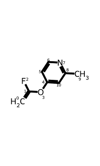 C=C(F)Oc1ccnc(C)c1